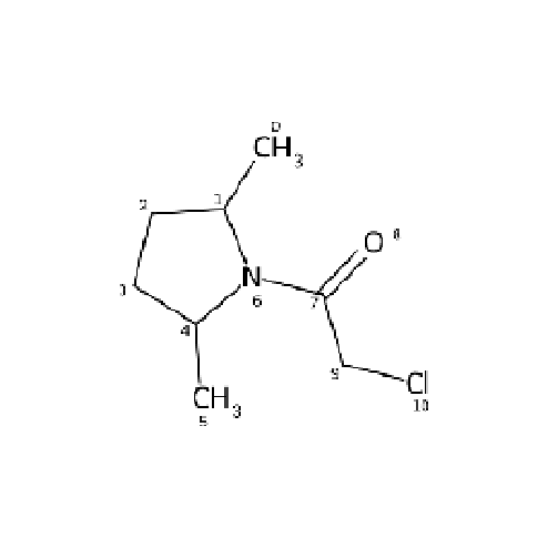 CC1CCC(C)N1C(=O)CCl